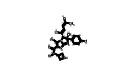 CC/C(=C\C=C(/C)Cl)[C@H]1N2C(=N[C@@]1(C)c1ccc(Cl)cc1)SC(C(=O)N(CC)C1CNC1)=C2C(C)C